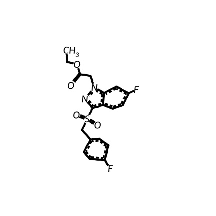 CCOC(=O)Cn1nc(S(=O)(=O)Cc2ccc(F)cc2)c2ccc(F)cc21